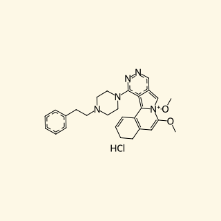 COC1=CC2=C(C=CCC2)C2=c3c(N4CCN(CCc5ccccc5)CC4)nncc3=C[N+]12OC.Cl